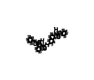 O=C(CCc1ccc2cc(NC(=O)Oc3ccccc3)ccc2c1)Nc1ccccc1C(=O)OCc1ccccc1